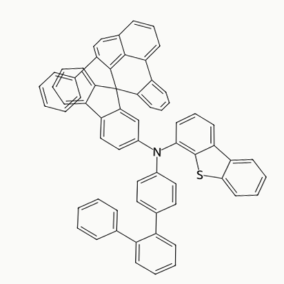 c1ccc(-c2ccccc2-c2ccc(N(c3ccc4c(c3)C3(c5ccccc5-4)c4ccccc4-c4cccc5ccc(-c6ccccc6)c3c45)c3cccc4c3sc3ccccc34)cc2)cc1